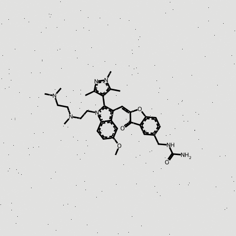 COc1ccc2c(c1)c(C=C1Oc3ccc(CNC(N)=O)cc3C1=O)c(-c1c(C)nn(C)c1C)n2CCN(C)CCN(C)C